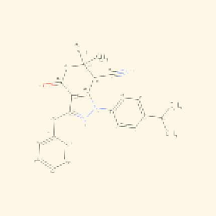 CC(C)c1ccc(-n2nc(Cc3ccccc3)c3c2C(C#N)C(C)(C)CC3=O)cc1